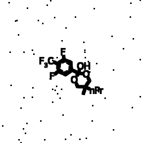 CCCC1(C)COC(O)(c2cc(F)c(C(F)(F)F)c(F)c2)OC1